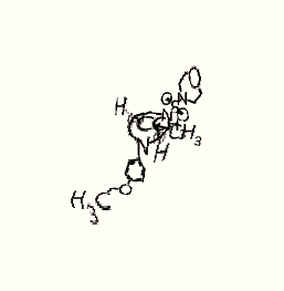 CCOc1ccc(N2C[C@H]3CN(S(=O)(=O)N4CCOCC4)C[C@@H]2C(C)(C)C3)cc1